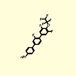 CCCc1ccc(-c2ccc(-c3cc(F)c(OC(F)(F)C(F)F)c(F)c3)c(F)c2)cc1